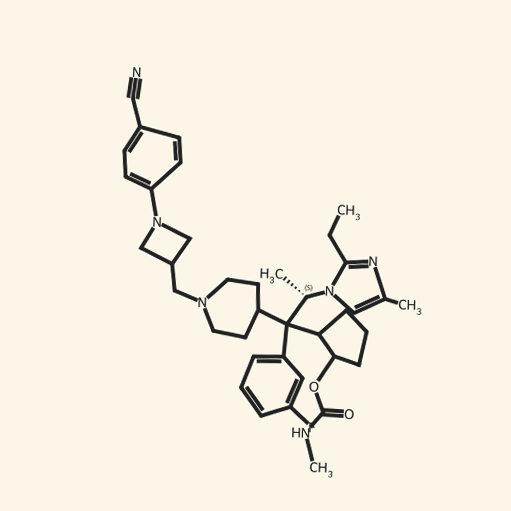 CCc1nc(C)cn1[C@@H](C)C(c1cccc(F)c1)(C1CCN(CC2CN(c3ccc(C#N)cc3)C2)CC1)C1CCCC1OC(=O)NC